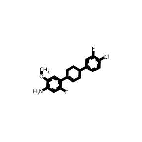 COc1cc(C2=CCC(c3ccc(Cl)c(F)c3)CC2)c(F)cc1N